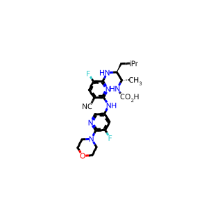 CC(C)C[C@H](Nc1nc(Nc2cnc(N3CCOCC3)c(F)c2)c(C#N)cc1F)[C@H](C)NC(=O)O